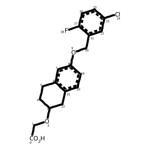 O=C(O)COC1CCc2cc(OCc3cc(Cl)ccc3F)ccc2C1